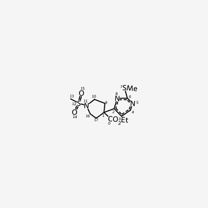 CCOC(=O)C1(c2ccnc(SC)n2)CCN(S(C)(=O)=O)CC1